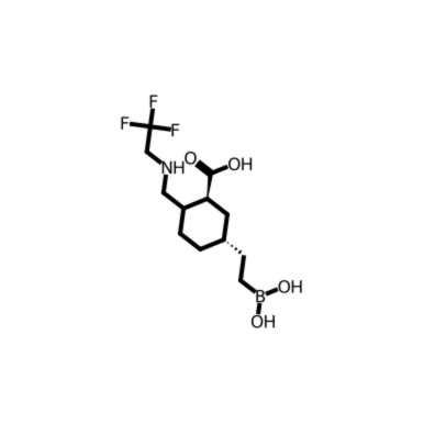 O=C(O)[C@H]1C[C@H](CCB(O)O)CCC1CNCC(F)(F)F